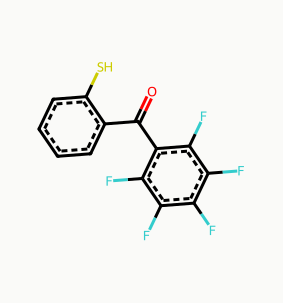 O=C(c1ccccc1S)c1c(F)c(F)c(F)c(F)c1F